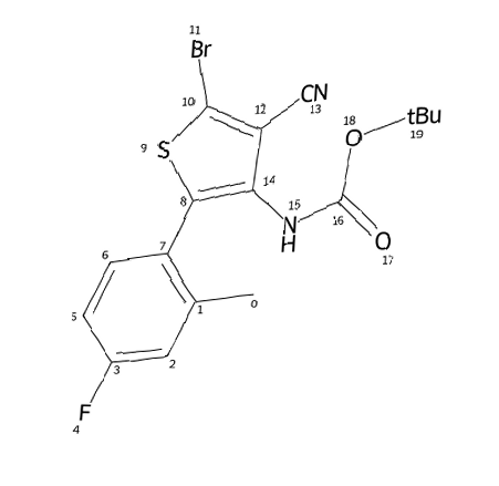 Cc1cc(F)ccc1-c1sc(Br)c(C#N)c1NC(=O)OC(C)(C)C